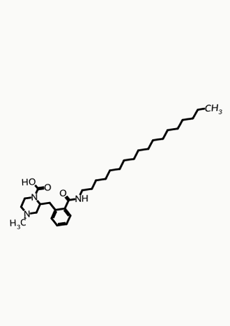 CCCCCCCCCCCCCCCCCCNC(=O)c1ccccc1CC1CN(C)CCN1C(=O)O